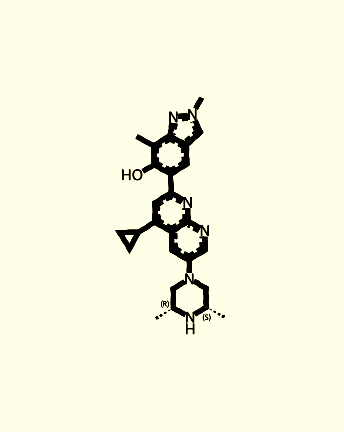 Cc1c(O)c(-c2cc(C3CC3)c3cc(N4C[C@@H](C)N[C@@H](C)C4)cnc3n2)cc2cn(C)nc12